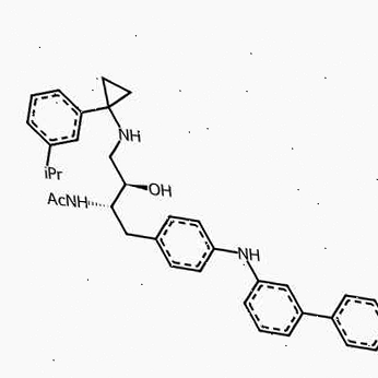 CC(=O)N[C@@H](Cc1ccc(Nc2cccc(-c3ccccc3)c2)cc1)[C@H](O)CNC1(c2cccc(C(C)C)c2)CC1